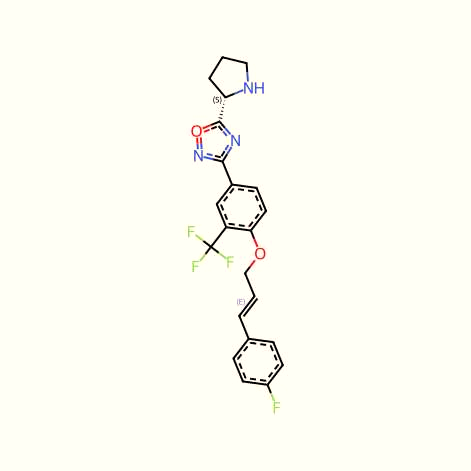 Fc1ccc(/C=C/COc2ccc(-c3noc([C@@H]4CCCN4)n3)cc2C(F)(F)F)cc1